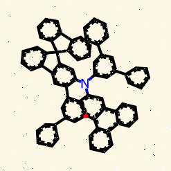 c1ccc(-c2cccc(-c3cc4c(cc3N(c3cc(-c5ccccc5)cc(-c5ccccc5)c3)c3ccc5c6ccccc6c6ccccc6c5c3)C3(c5ccccc5-c5ccccc53)c3ccccc3-4)c2)cc1